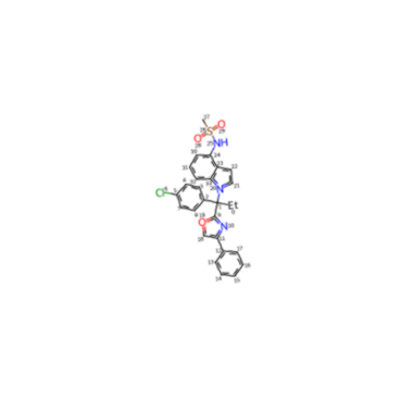 CCC(c1ccc(Cl)cc1)(c1nc(-c2ccccc2)co1)n1ccc2c(NS(C)(=O)=O)cccc21